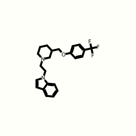 FC(F)(F)c1ccc(OCC2CCCN(CCn3ccc4ccccc43)C2)cc1